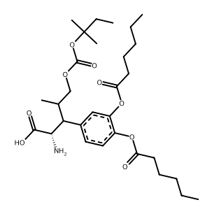 CCCCCC(=O)Oc1ccc(C(C(C)COC(=O)OC(C)(C)CC)[C@H](N)C(=O)O)cc1OC(=O)CCCCC